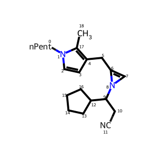 CCCCCn1ccc(CC2=CN2C(CC#N)C2CCCC2)c1C